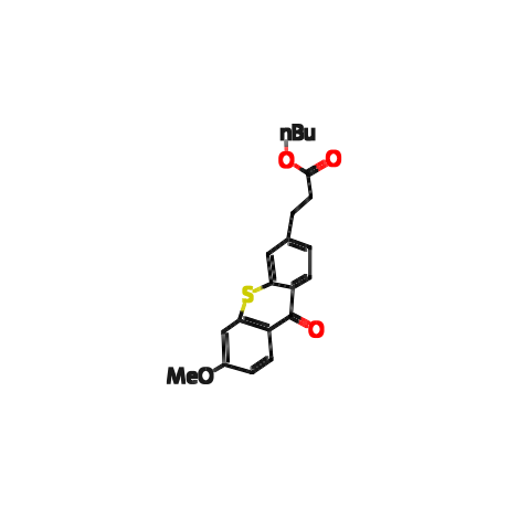 CCCCOC(=O)CCc1ccc2c(=O)c3ccc(OC)cc3sc2c1